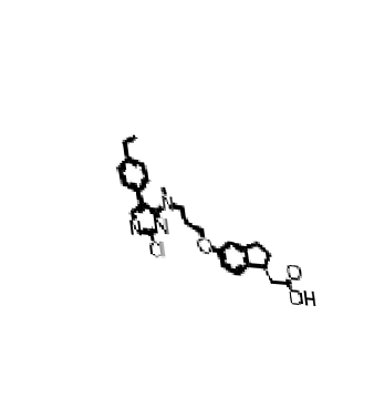 CCc1ccc(-c2cnc(Cl)nc2N(C)CCCOc2ccc3c(c2)CC[C@H]3CC(=O)O)cc1